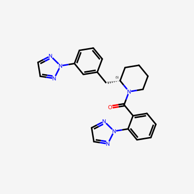 O=C(c1ccccc1-n1nccn1)N1CCCC[C@H]1Cc1cccc(-n2nccn2)c1